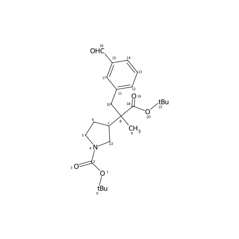 CC(C)(C)OC(=O)N1CCC(C(C)(Cc2cccc(C=O)c2)C(=O)OC(C)(C)C)C1